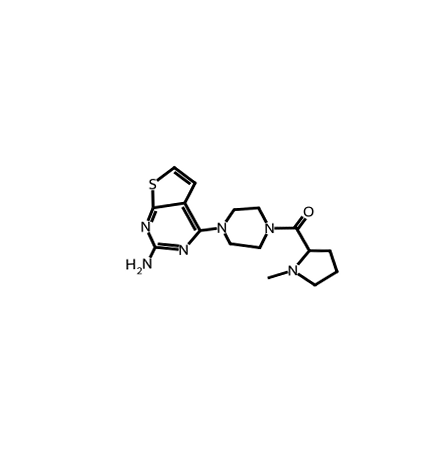 CN1CCCC1C(=O)N1CCN(c2nc(N)nc3sccc23)CC1